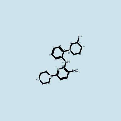 O=[N+]([O-])c1ccc(N2CCOCC2)nc1Nc1ccccc1N1CCCC(F)C1